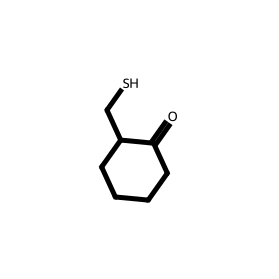 O=C1CCCCC1CS